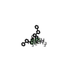 CC1=Cc2c(-c3cccc(-c4ccccc4)c3)cccc2[CH]1[Zr]([Cl])([Cl])([CH]1C(C)=Cc2c(-c3cccc(-c4ccccc4)c3)cccc21)=[Si](C)C